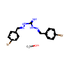 N=C(NN=Cc1ccc(Br)cc1)NN=Cc1ccc(Br)cc1.O=[N+]([O-])O